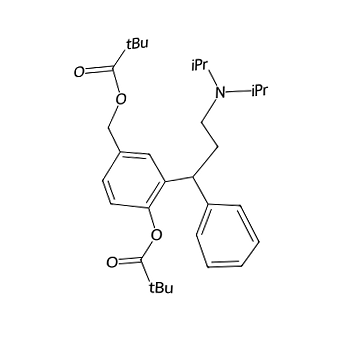 CC(C)N(CCC(c1ccccc1)c1cc(COC(=O)C(C)(C)C)ccc1OC(=O)C(C)(C)C)C(C)C